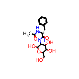 CC(=O)N[C@H](Cc1ccccc1)C(=O)NC1C(O)OC(CO)C(O)C1O